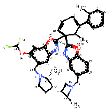 Cc1ccccc1C1=CC=CC(c2nc3cc(CN4CCC4C)ccc3o2)(c2nc3cc(CN4CCC[C@H]4C(=O)O)c(OC(F)F)cc3o2)C1C